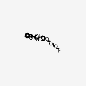 FCCOCCOCCOC1CCN(c2ncc(-c3cc4ccccc4o3)cn2)CC1